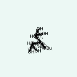 C=P(O)(OCCOCCOCC(COCCOCCOP(=C)(O)OC(COCCOCCO)COCCOCCO)OCC(=O)NCCC(=O)NCCCC)OC(COCCOCO)COCCOCCO